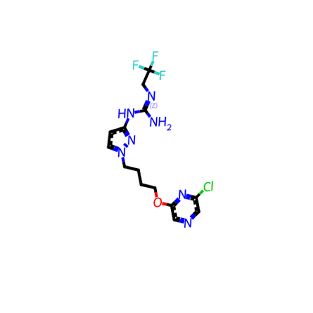 N/C(=N/CC(F)(F)F)Nc1ccn(CCCCOc2cncc(Cl)n2)n1